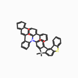 C[Si]1(C)c2cc(N(c3ccccc3-c3ccccc3)c3ccccc3-c3ccc4ccccc4c3)ccc2-c2c1ccc1sc3ccccc3c21